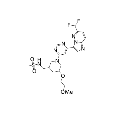 COCCOC1CC(CNS(C)(=O)=O)CN(c2cc(-c3cnc4ccc(C(F)F)nn34)ncn2)C1